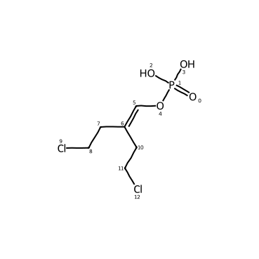 O=P(O)(O)OC=C(CCCl)CCCl